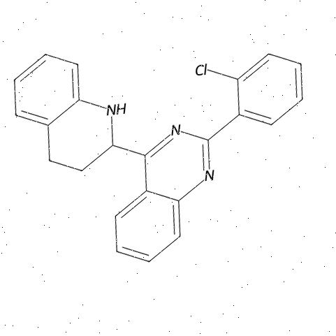 Clc1ccccc1-c1nc(C2CCc3ccccc3N2)c2ccccc2n1